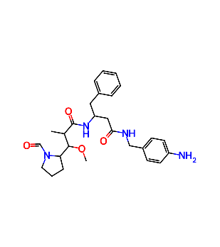 COC(C(C)C(=O)NC(CC(=O)NCc1ccc(N)cc1)Cc1ccccc1)C1CCCN1C=O